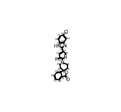 O=C1OC2(CCN(c3ncc(-c4nc5cc(Cl)ccc5[nH]4)cc3F)CC2)c2ccccc21